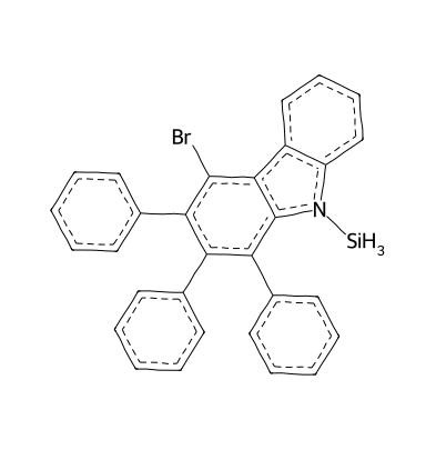 [SiH3]n1c2ccccc2c2c(Br)c(-c3ccccc3)c(-c3ccccc3)c(-c3ccccc3)c21